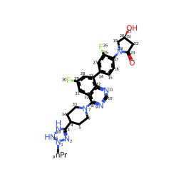 CCCN1N=C(C2CCN(c3ncnc4c(-c5ccc(N6C[C@@H](O)CC6=O)c(F)c5)cc(F)cc34)CC2)NN1